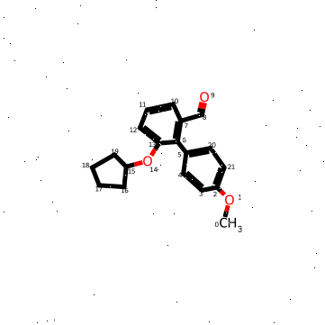 COc1ccc(-c2c(C=O)cccc2OC2CCCC2)cc1